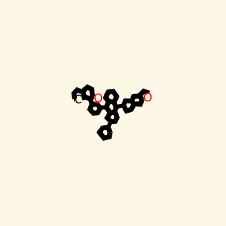 c1ccc(-c2ccc3c(-c4ccc5cc6occc6cc5c4)c4ccccc4c(-c4cccc5c4oc4ccc6ccccc6c45)c3c2)cc1